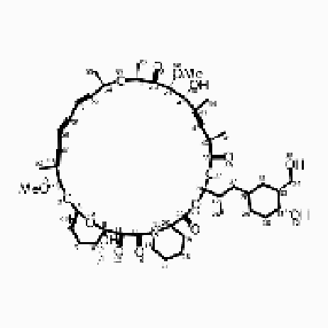 CO[C@H]1C[C@@H]2CC[C@@H](C)[C@@](O)(O2)C(=O)C(=O)N2CCCCC2C(=O)O[C@H]([C@H](C)CC2CC[C@@H](O)[C@H](CO)C2)CC(=O)[C@H](C)/C=C(\C)[C@@H](O)[C@@H](OC)C(=O)[C@H](C)C[C@H](C)/C=C/C=C/C=C/1C